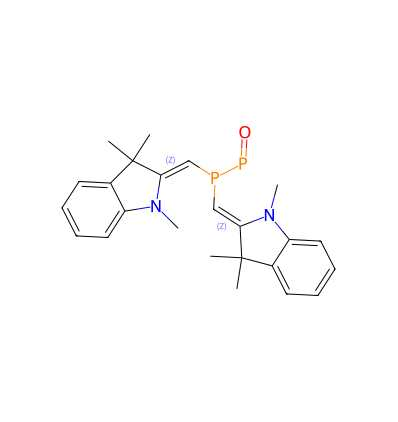 CN1/C(=C\P(/C=C2\N(C)c3ccccc3C2(C)C)P=O)C(C)(C)c2ccccc21